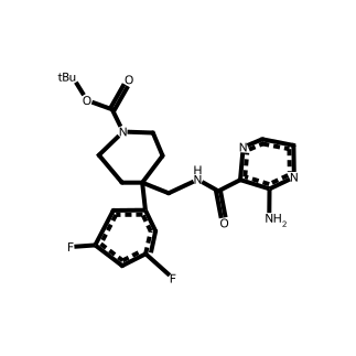 CC(C)(C)OC(=O)N1CCC(CNC(=O)c2nccnc2N)(c2cc(F)cc(F)c2)CC1